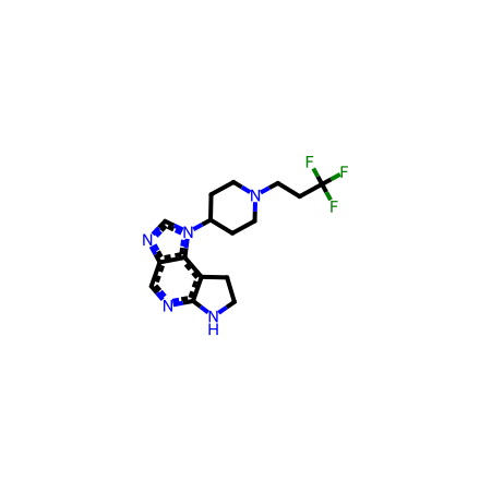 FC(F)(F)CCN1CCC(n2cnc3cnc4c(c32)CCN4)CC1